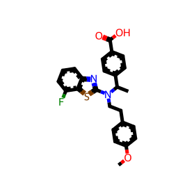 COc1ccc(CCN(c2nc3cccc(F)c3s2)C(C)c2ccc(C(=O)O)cc2)cc1